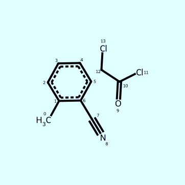 Cc1ccccc1C#N.O=C(Cl)CCl